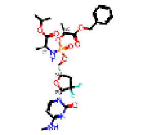 CNc1ccn([C@@H]2O[C@H](COP(=O)(N[C@@H](C)C(=O)OC(C)C)O[C@@H](C)C(=O)OCc3ccccc3)CC2(F)F)c(=O)n1